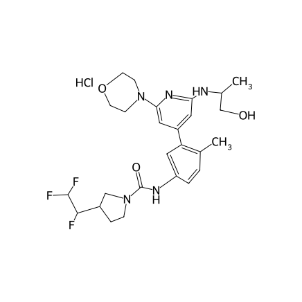 Cc1ccc(NC(=O)N2CCC(C(F)C(F)F)C2)cc1-c1cc(NC(C)CO)nc(N2CCOCC2)c1.Cl